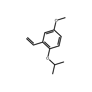 C=Cc1cc(OC)ccc1OC(C)C